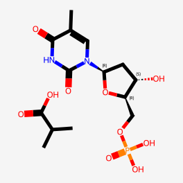 CC(C)C(=O)O.Cc1cn([C@H]2C[C@H](O)[C@@H](COP(=O)(O)O)O2)c(=O)[nH]c1=O